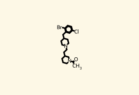 CC(=O)N1CCCC(CCN2CCC(Cc3cc(Cl)ccc3Br)CC2)C1